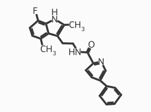 Cc1[nH]c2c(F)ccc(C)c2c1CCNC(=O)c1ccc(-c2ccccc2)cn1